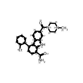 CCc1ccccc1-c1ccc(C(N)=O)c2[nH]c3cc(C(=O)N4CCN(C)CC4)ccc3c12